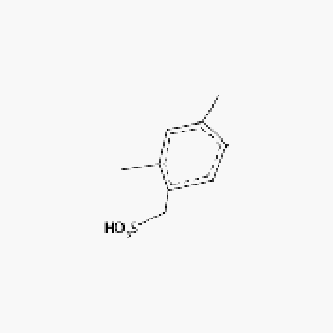 Cc1ccc(CS(=O)(=O)O)c(C)c1